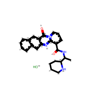 CC(NC(=O)c1cccn2c(=O)c3cc4ccccc4cc3nc12)C1CCCCN1.Cl